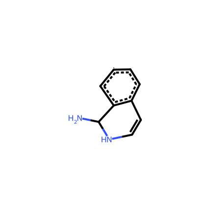 NC1NC=Cc2cc[c]cc21